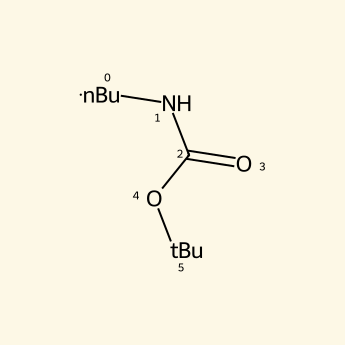 CCC[CH]NC(=O)OC(C)(C)C